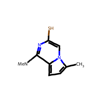 CNc1nc(S)cn2c(C)ccc12